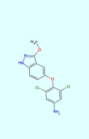 COc1n[nH]c2ccc(Oc3c(Cl)cc(N)cc3Cl)cc12